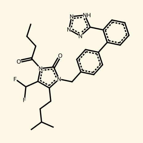 CCCC(=O)n1c(C(F)F)c(CCC(C)C)n(Cc2ccc(-c3ccccc3-c3nnn[nH]3)cc2)c1=O